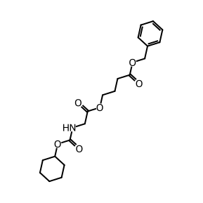 O=C(CCCOC(=O)CNC(=O)OC1CCCCC1)OCc1ccccc1